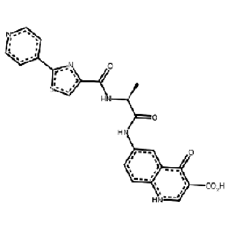 C[C@H](NC(=O)c1csc(-c2ccncc2)n1)C(=O)Nc1ccc2[nH]cc(C(=O)O)c(=O)c2c1